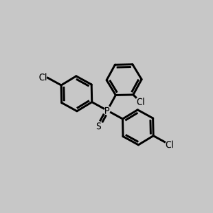 S=P(c1ccc(Cl)cc1)(c1ccc(Cl)cc1)c1ccccc1Cl